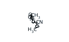 Cc1csc(C(C#N)=C2C=CC(=NOS(C)(=O)=O)S2)c1